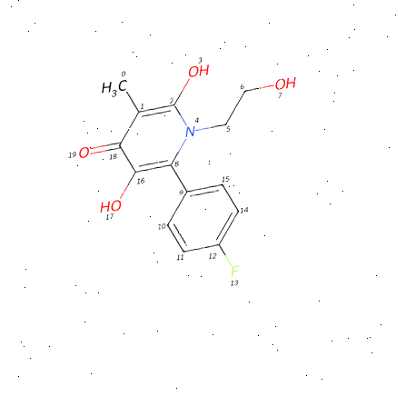 Cc1c(O)n(CCO)c(-c2ccc(F)cc2)c(O)c1=O